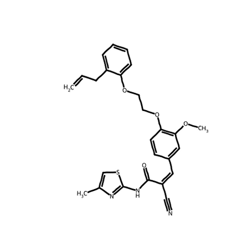 C=CCc1ccccc1OCCOc1ccc(C=C(C#N)C(=O)Nc2nc(C)cs2)cc1OC